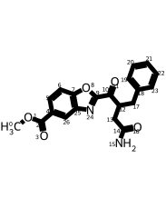 COC(=O)c1ccc2oc(C(=O)C(CC(N)=O)Cc3ccccc3)nc2c1